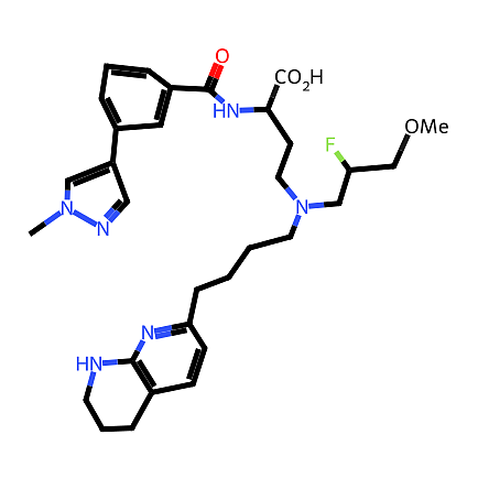 COCC(F)CN(CCCCc1ccc2c(n1)NCCC2)CCC(NC(=O)c1cccc(-c2cnn(C)c2)c1)C(=O)O